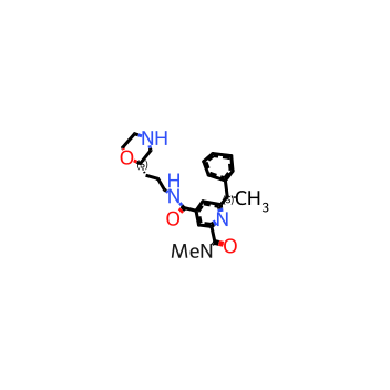 CNC(=O)c1cc(C(=O)NCCC[C@H]2CNCCO2)cc([C@@H](C)c2ccccc2)n1